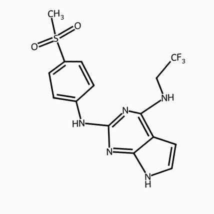 CS(=O)(=O)c1ccc(Nc2nc(NCC(F)(F)F)c3cc[nH]c3n2)cc1